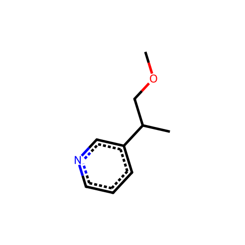 COCC(C)c1cccnc1